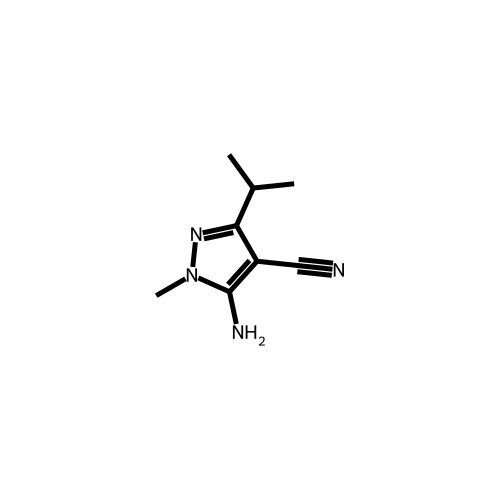 CC(C)c1nn(C)c(N)c1C#N